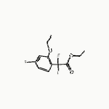 CCOC(=O)C(F)(F)c1ccc(F)cc1OCC